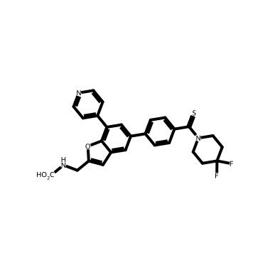 O=C(O)NCc1cc2cc(-c3ccc(C(=S)N4CCC(F)(F)CC4)cc3)cc(-c3ccncc3)c2o1